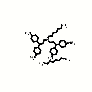 NCCCCCCN.NCCCCCCN(CCC(C1CCC(N)CC1)C1CCC(N)CC1)CCC(C1CCC(N)CC1)C1CCC(N)CC1